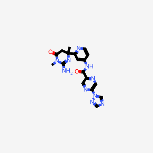 CN1C(=O)CC(C)(c2cc(NC(=O)c3cnc(-n4cncn4)cn3)ccn2)N=C1N